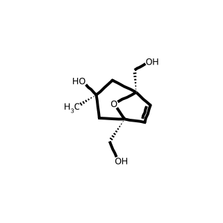 C[C@]1(O)C[C@@]2(CO)C=C[C@@](CO)(C1)O2